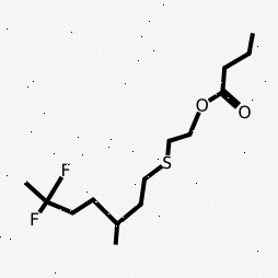 CCCC(=O)OCCSCCC(C)CCC(C)(F)F